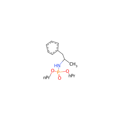 CCCOP(=O)(NC(C)Cc1ccccc1)OCCC